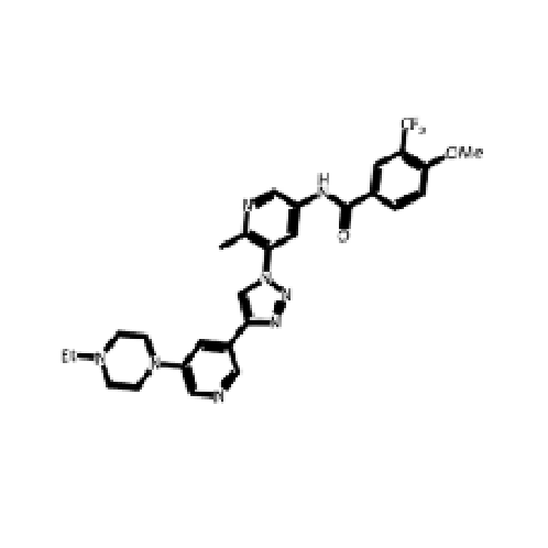 CCN1CCN(c2cncc(-c3cn(-c4cc(NC(=O)c5ccc(OC)c(C(F)(F)F)c5)cnc4C)nn3)c2)CC1